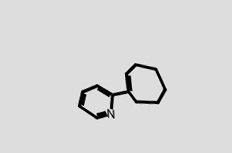 C1=C(c2ccccn2)CCCCC1